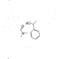 CC(O)c1ccccc1.CN(C)C=O